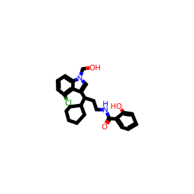 O=C(NCCC(c1cn(CO)c2cccc(Cl)c12)C1CCCCC1)c1ccccc1O